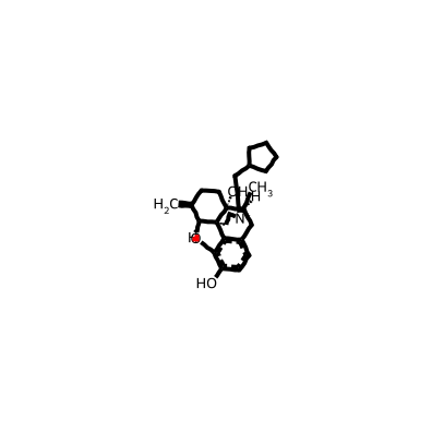 C=C1CC[C@@]2(O)[C@H]3Cc4ccc(O)c5c4[C@@]2(CC[N+]3(C)CC2CCCC2)[C@H]1O5